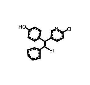 CCC(=C(c1ccc(O)cc1)c1ccc(Cl)nc1)c1ccccc1